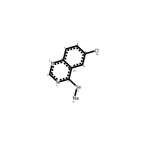 [Na][Se]c1ncnc2ccc(Cl)cc12